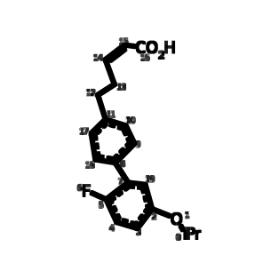 CC(C)Oc1ccc(F)c(-c2ccc(CC/C=C\C(=O)O)cc2)c1